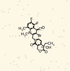 CC[C@@]1(O)C(=O)OCc2c1ccn(CC1=C(Br)C(=C=O)c3c(F)c(F)cc(C)c3N1C)c2=O